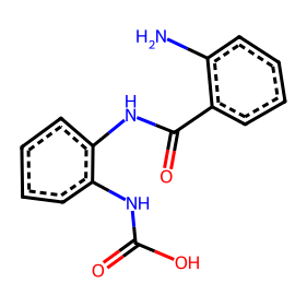 Nc1ccccc1C(=O)Nc1ccccc1NC(=O)O